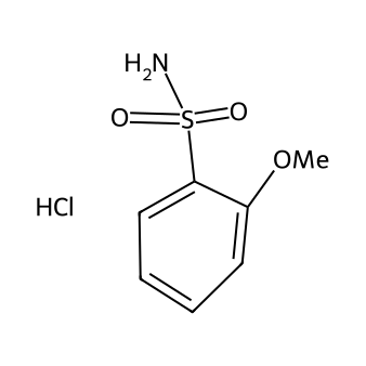 COc1ccccc1S(N)(=O)=O.Cl